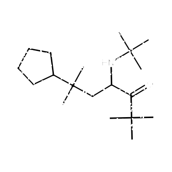 CC(C)(C)NC(CC(C)(C)C1CCCC1)C(=O)C(C)(C)C